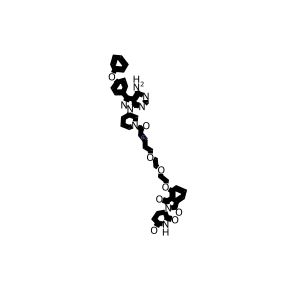 Nc1ncnc2c1c(-c1ccc(Oc3ccccc3)cc1)nn2C1CCCN(C(=O)/C=C/CCOCCOCCOc2cccc3c2C(=O)N(C2CCC(=O)NC2=O)C3=O)C1